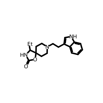 CCC1NC(=O)OC12CCN(CCc1c[nH]c3ccccc13)CC2